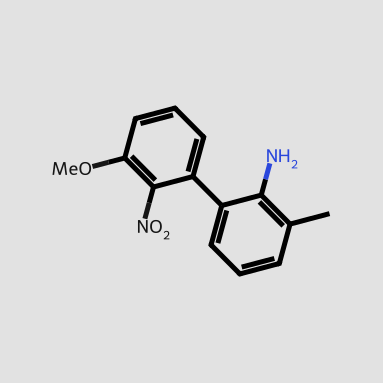 COc1cccc(-c2cccc(C)c2N)c1[N+](=O)[O-]